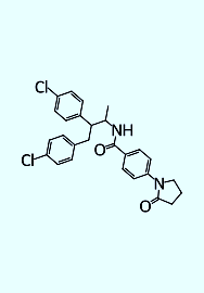 CC(NC(=O)c1ccc(N2CCCC2=O)cc1)C(Cc1ccc(Cl)cc1)c1ccc(Cl)cc1